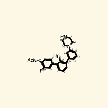 CC(=O)Nc1ccc(-c2cccc(-c3cccc(N4CCNCC4)c3)c2O)cc1F